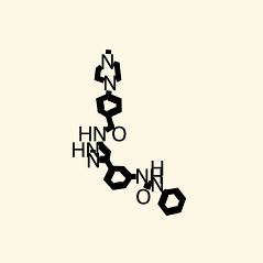 CN1CCN(c2ccc(C(=O)Nc3cc(-c4cccc(NC(=O)Nc5ccccc5)c4)n[nH]3)cc2)CC1